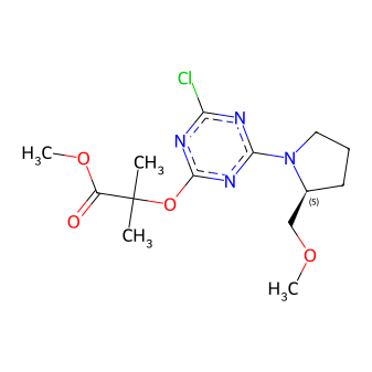 COC[C@@H]1CCCN1c1nc(Cl)nc(OC(C)(C)C(=O)OC)n1